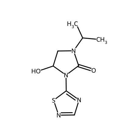 CC(C)N1CC(O)N(c2ncns2)C1=O